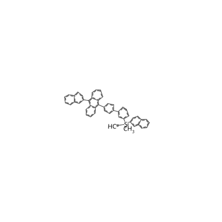 C#C[Si](C)(c1cccc(-c2ccc(-c3c4ccccc4c(-c4ccc5ccccc5c4)c4ccccc34)cc2)c1)c1ccc2ccccc2c1